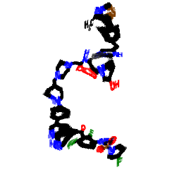 Cc1ncsc1-c1ccc(Cc2cnc([C@@H]3C[C@@H](O)CN3C(=O)C(NC(=O)CN3CCN(CC4CCN(c5ccc(-c6cnc7[nH]cc(C(=O)c8c(F)ccc(NS(=O)(=O)N9CC[C@@H](F)C9)c8F)c7c6)cc5)CC4)CC3)C(C)(C)C)[nH]2)cc1